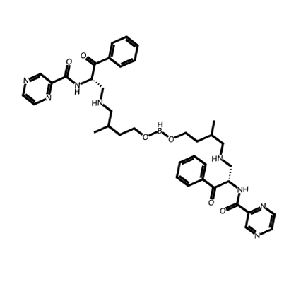 CC(CCOBOCCC(C)CNC[C@H](NC(=O)c1cnccn1)C(=O)c1ccccc1)CNC[C@H](NC(=O)c1cnccn1)C(=O)c1ccccc1